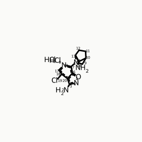 Cl.Cl.Nc1noc2c(N3CC4CCC3C4N)ncc(Cl)c12